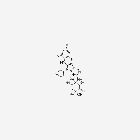 [2H]C1C([2H])C([2H])(Nc2ncc3nc(Nc4c(F)cc(F)cc4F)n(C4CCOC4)c3n2)C([2H])CC1([2H])O